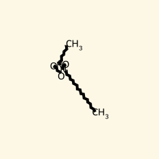 CCCCCCCCCCCCCCCCCCN1C(=O)CC(=O)N(CCCCCCCC)C1=O